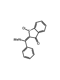 CNC(=C1C(=O)c2ccccc2[S+]1[O-])c1ccccc1